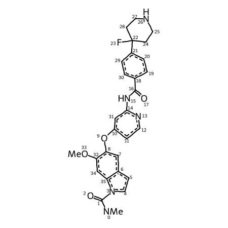 CNC(=O)n1ccc2cc(Oc3ccnc(NC(=O)c4ccc(C5(F)CCNCC5)cc4)c3)c(OC)cc21